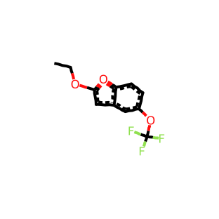 CCOc1cc2cc(OC(F)(F)F)ccc2o1